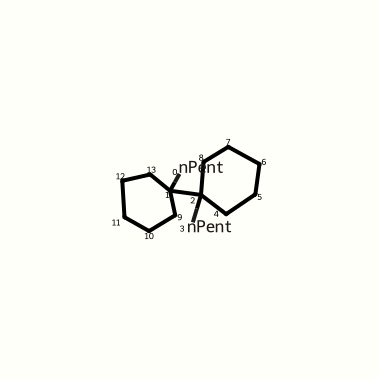 CCCCCC1(C2(CCCCC)CCCCC2)CCCCC1